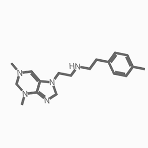 Cc1ccc(CCNCCN2CN=C3C2=CN(C)CN3C)cc1